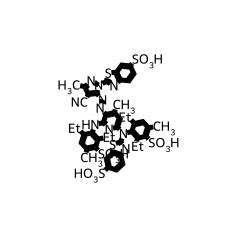 CCc1cc(C)c(S(=O)(=O)O)c(CC)c1Nc1nc(N(c2nc3ccc(S(=O)(=O)O)cc3s2)c2c(CC)cc(C)c(S(=O)(=O)O)c2CC)cc(C)c1N=Nc1c(C#N)c(C)nn1-c1nc2ccc(S(=O)(=O)O)cc2s1